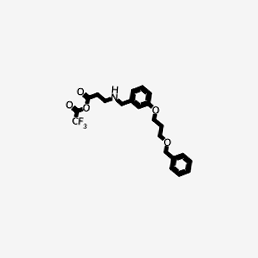 O=C(CCNCc1cccc(OCCCOCc2ccccc2)c1)OC(=O)C(F)(F)F